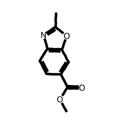 COC(=O)c1ccc2nc(C)oc2c1